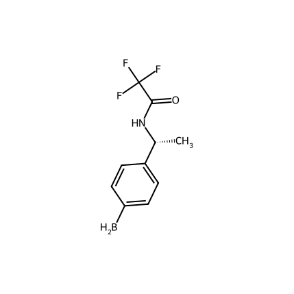 Bc1ccc([C@@H](C)NC(=O)C(F)(F)F)cc1